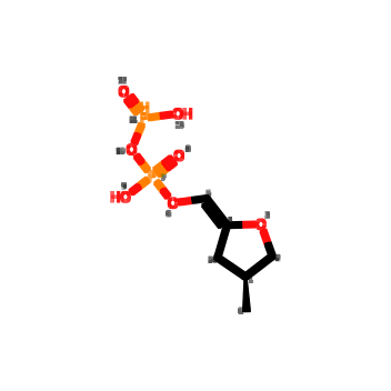 C[C@@H]1CO/C(=C/OP(=O)(O)O[PH](=O)O)C1